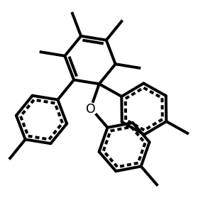 CC1=C(C)C(C)C(Oc2ccc(C)cc2)(c2ccc(C)cc2)C(c2ccc(C)cc2)=C1C